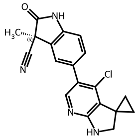 C[C@]1(C#N)C(=O)Nc2ccc(-c3cnc4c(c3Cl)C3(CC3)CN4)cc21